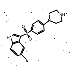 O=S(=O)(c1ccc(N2CCNCC2)cc1)c1c[nH]c2ccc(Br)cc12